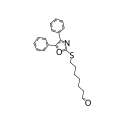 O=CCCCCCCSc1nc(-c2ccccc2)c(-c2ccccc2)o1